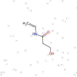 C=CNC(=O)CCO